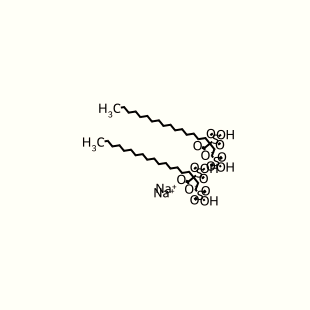 CCCCCCCCCCCCCCCCC(CCS(=O)(=O)O)(C(=O)[O-])S(=O)(=O)O.CCCCCCCCCCCCCCCCC(CCS(=O)(=O)O)(C(=O)[O-])S(=O)(=O)O.[Na+].[Na+]